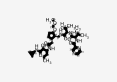 CCCC(NC(=O)C[C@H]1CCC(OCOC)[C@H]1CNC(=O)[C@@H](NC(=O)[C@H](NC(=O)c1cnccn1)C(C)C)C(C)C)C(O)C(=O)NC1CC1